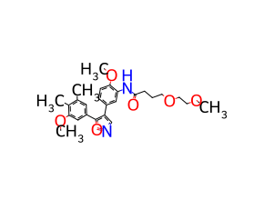 COCCOCCCC(=O)Nc1cc(-c2cnoc2-c2cc(C)c(C)c(OC)c2)ccc1OC